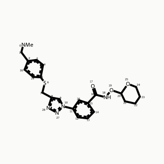 CNCc1ccc(SCc2cn(-c3cccc(C(=O)NOC4CCCCO4)c3)nn2)cc1